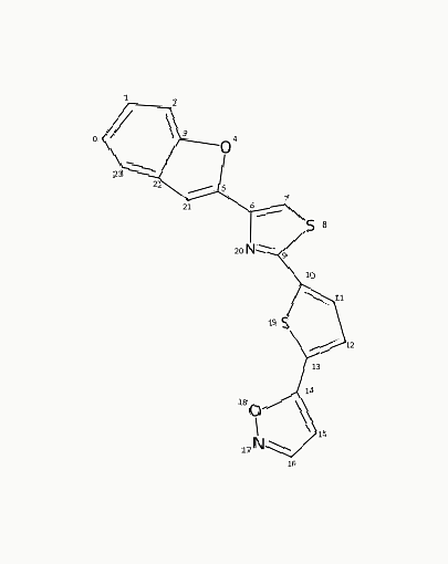 c1ccc2oc(-c3csc(-c4ccc(-c5ccno5)s4)n3)cc2c1